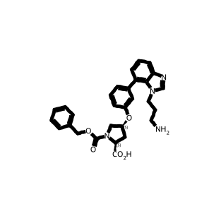 NCCCn1cnc2cccc(-c3cccc(O[C@H]4C[C@@H](C(=O)O)N(C(=O)OCc5ccccc5)C4)c3)c21